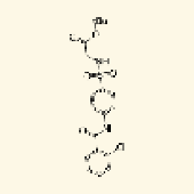 CC(C)(C)OC(=O)CNS(=O)(=O)c1ccc(NC(=O)c2ccccc2Cl)cc1